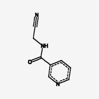 N#CCNC(=O)c1cccnc1